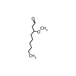 CCCCCCC(CC=O)OC